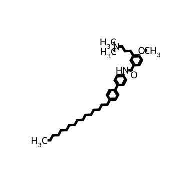 CCCCCCCCCCCCCCCCc1ccc(-c2ccc(NC(=O)c3ccc(OC)c(CCCN(C)C)c3)cc2)cc1